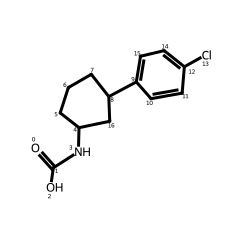 O=C(O)NC1CCCC(c2ccc(Cl)cc2)C1